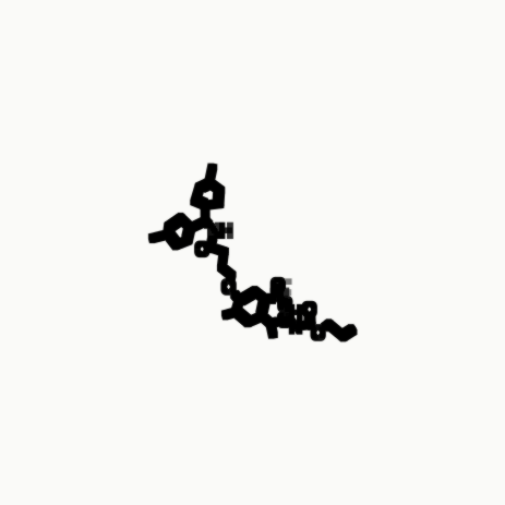 C=CCOC(=O)NOC(C)c1cc(C)c(OCCCC(=O)NC(c2ccc(C)cc2)c2ccc(C)cc2)cc1[N+](=O)[O-]